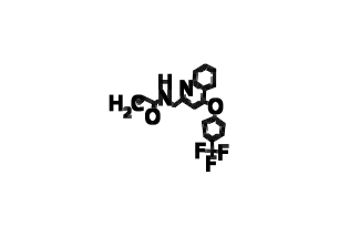 C=CC(=O)NCc1cc(Oc2ccc(C(F)(F)F)cc2)c2ccccc2n1